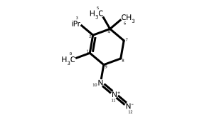 CC1=C(C(C)C)C(C)(C)CCC1N=[N+]=[N-]